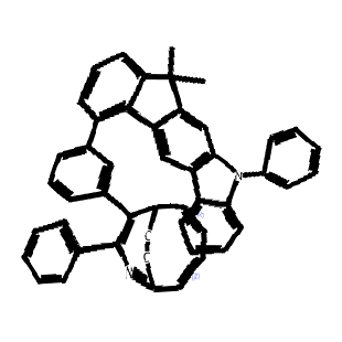 CC1(C)c2cc3c(cc2-c2c(-c4cccc(C5=C(c6ccccc6)N=C6/C=C\C=C/C5CC6)c4)cccc21)c1ccccc1n3-c1ccccc1